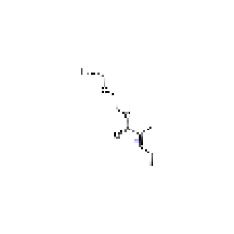 C=C/C=C(\C)C(=O)OCCOCC(F)(F)F